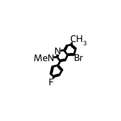 CNc1nc2cc(C)cc(Br)c2cc1-c1ccc(F)cc1